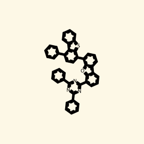 c1ccc(-c2nc(-c3ccccc3)nc(-c3cccc4c3oc3c(-c5ccc(-c6ccccc6)c6c5sc5ccccc56)cccc34)n2)cc1